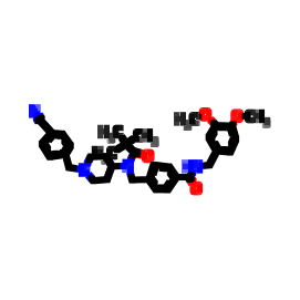 COc1ccc(CNC(=O)c2ccc(CN(C(=O)C(C)(C)C)C3CCN(Cc4ccc(C#N)cc4)CC3)cc2)cc1OC